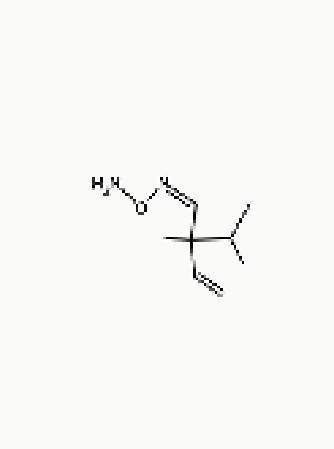 C=CC(C)(/C=N\ON)C(C)C